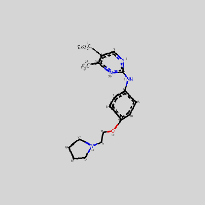 CCOC(=O)c1cnc(Nc2ccc(OCCN3CCCC3)cc2)nc1C(F)(F)F